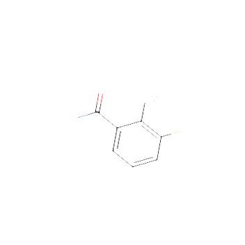 COc1c(F)cccc1C(N)=O